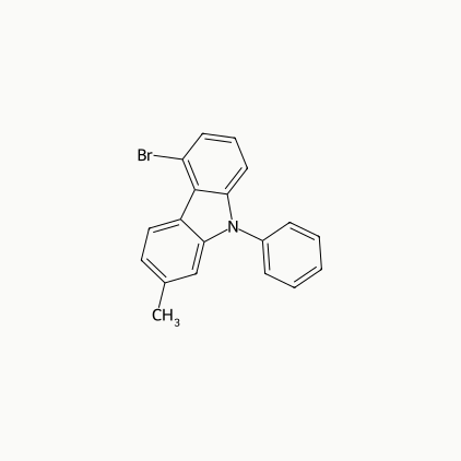 Cc1ccc2c3c(Br)cccc3n(-c3ccccc3)c2c1